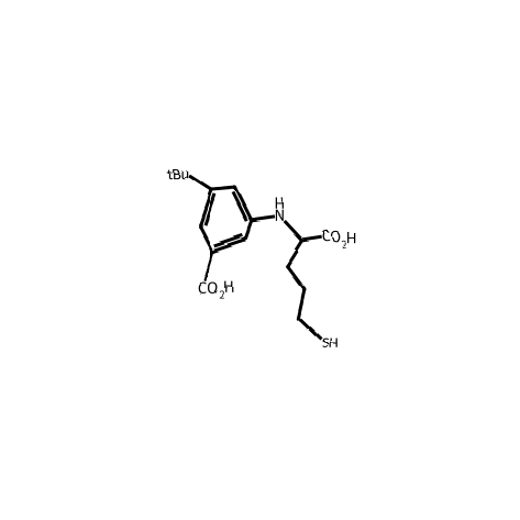 CC(C)(C)c1cc(NC(CCCS)C(=O)O)cc(C(=O)O)c1